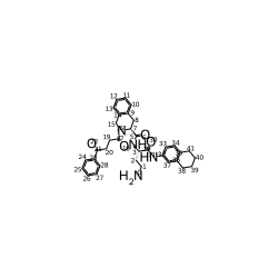 NCC[C@H](NC(=O)[C@@H]1Cc2ccccc2CN1C(=O)CCC(=O)c1ccccc1)C(=O)Nc1ccc2c(c1)CCCC2